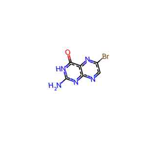 Nc1nc2ncc(Br)nc2c(=O)[nH]1